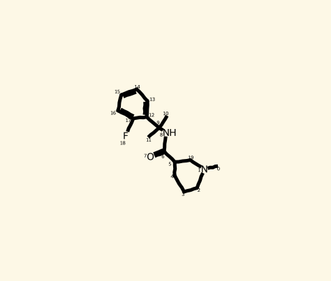 CN1CCCC(C(=O)NC(C)(C)c2ccccc2F)C1